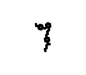 COCCNc1ccc(CC=CCc2ccccc2Cc2ccc(OC)cc2)cc1